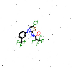 O=C(N=c1sc(Cl)cn1-c1cccc(C(F)(F)F)c1)C(F)C(F)(F)F